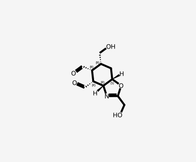 O=C[C@@H]1[C@H](CO)C[C@@H]2OC(CO)=N[C@@H]2[C@@H]1C=O